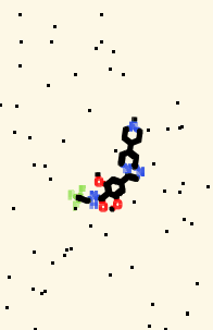 COc1cc(-c2cnc3cc(C4CCN(C)CC4)ccn23)cc(OC)c1C(=O)NCC(F)(F)F